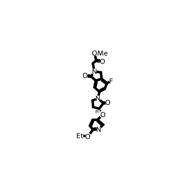 CCOc1ccc(O[C@@H]2CCN(c3cc(F)c4c(c3)C(=O)N(CC(=O)OC)C4)C2=O)cn1